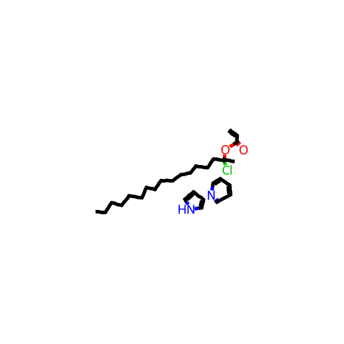 C=CC(=O)OC(C)(Cl)CCCCCCCCCCCCCCC.c1cc[nH]c1.c1ccncc1